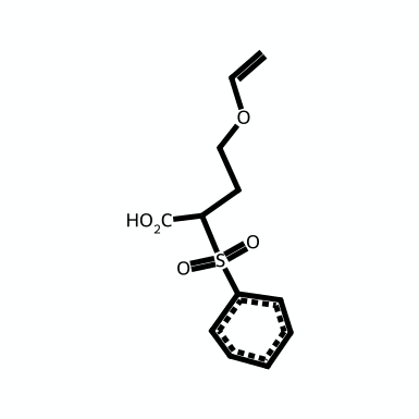 C=COCCC(C(=O)O)S(=O)(=O)c1ccccc1